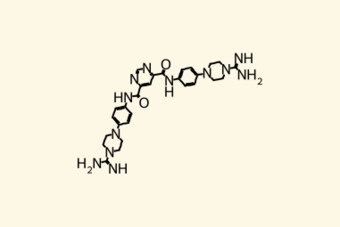 N=C(N)N1CCN(c2ccc(NC(=O)c3cc(C(=O)Nc4ccc(N5CCN(C(=N)N)CC5)cc4)ncn3)cc2)CC1